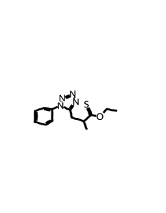 CCOC(=S)C(C)Cc1nnnn1-c1ccccc1